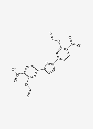 O=[N+]([O-])c1ccc(-c2ccc(-c3ccc([N+](=O)[O-])c(OC=S)c3)o2)cc1OC=S